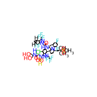 CC(C)(C#Cc1ccc(-c2ccc(Cl)c3c(N(CC(=O)NC(CO)CO)[SH](=O)=O)nn(CC(F)(F)F)c23)c(C(Cc2cc(F)cc(F)c2)NC(=O)Cn2nc(C(F)(F)F)c3c2C(F)(F)[C@@H]2C[C@H]32)n1)S(C)(=O)=O